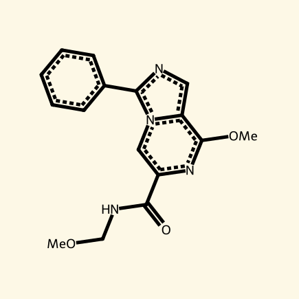 COCNC(=O)c1cn2c(-c3ccccc3)ncc2c(OC)n1